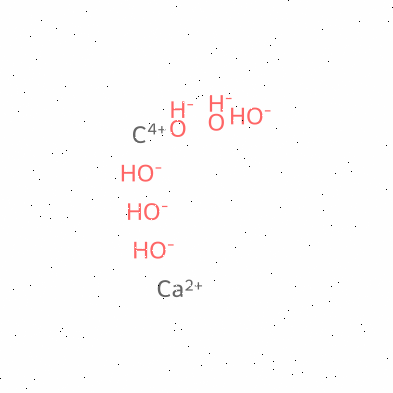 [C+4].[Ca+2].[OH-].[OH-].[OH-].[OH-].[OH-].[OH-]